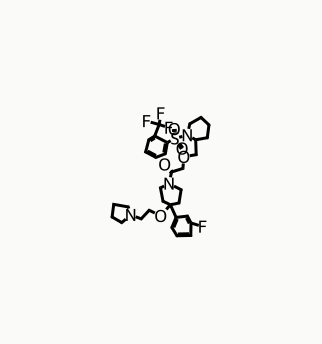 O=C(COCC1CCCCN1S(=O)(=O)c1ccccc1C(F)(F)F)N1CCC(OCCN2CCCC2)(c2cccc(F)c2)CC1